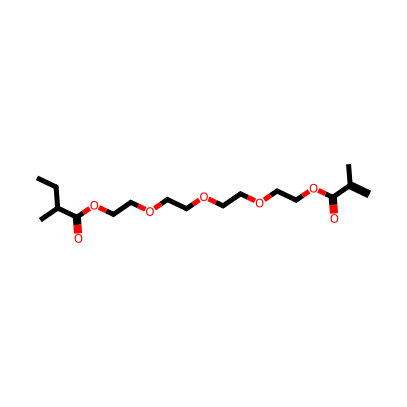 C=C(C)C(=O)OCCOCCOCCOCCOC(=O)C(C)CC